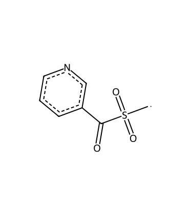 [CH2]S(=O)(=O)C(=O)c1cccnc1